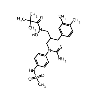 Cc1ccc(CC(CN(O)C(=O)C(C)(C)C)CN(C(N)=S)c2ccc(NS(C)(=O)=O)cc2)cc1C